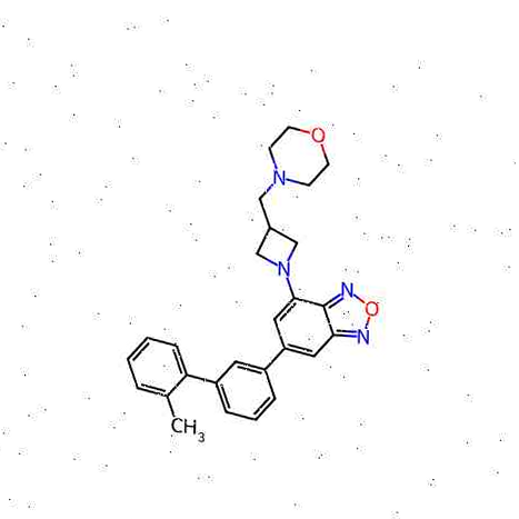 Cc1ccccc1-c1cccc(-c2cc(N3CC(CN4CCOCC4)C3)c3nonc3c2)c1